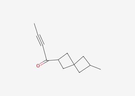 CC#CC(=O)C1CC2(CC(C)C2)C1